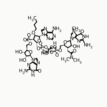 CCCCO[C@@H]1[C@H](P(=O)([O-])OC[C@H]2O[C@@H](n3cnc4c(=O)[nH]c(N)nc43)[C@H](O)[C@@H]2O)[C@@H](COP(=O)(O)OP(=O)(O)OP(=O)(O)OC[C@H]2OC(n3c[n+](C)c4c(=O)[nH]c(N)nc43)[C@H](O)[C@@H]2CC(=O)N(C)C)O[C@H]1n1cnc2c(N)ncnc21